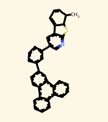 CC1C=CC=C2c3cc(-c4cccc(-c5ccc6c7ccccc7c7ccccc7c6c5)c4)cnc3SC21